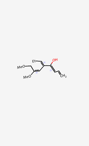 C=C/C=C(O)/C(/C=C(\COC)OC)=C/CC